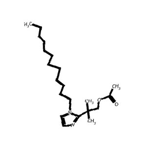 CCCCCCCCCCCCn1ccnc1C(C)(C)COC(C)=O